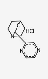 Cl.c1cnc(C2CC3CCN2CC3)cn1